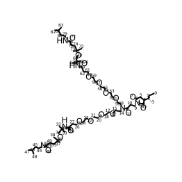 CC[C@H](C)C1CC(=O)N(CCC(=O)N(CCOCCOCCOCCOCCC(=O)NC(C)(C)COC(C)(C)CCC(=O)NCCC(C)C)CCOCCOCCOCCOCCC(=O)NC(C)(C)COC(C)(C)CCC(=O)NCCC(C)C)C1=O